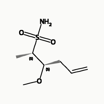 C=CC[C@H](OC)[C@H](C)S(N)(=O)=O